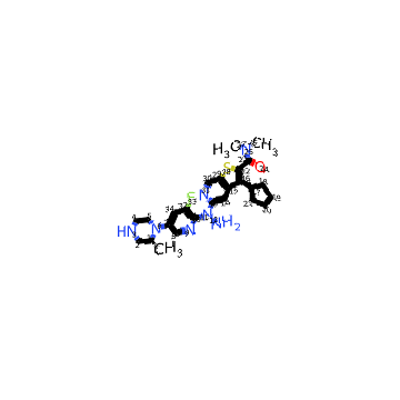 C[C@H]1CNCCN1c1cnc(N(N)c2cc3c(C4CCCC4)c(C(=O)N(C)C)sc3cn2)c(F)c1